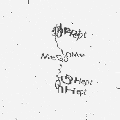 CCCCCCCOC(CCCC=CC(OC)OC(C=CCCCC(OCCCCCCC)OCCCCCCC)OC)OCCCCCCC